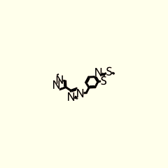 CSc1nc2ccc(Cn3cnc(-c4cnn(C)c4)c3)cc2s1